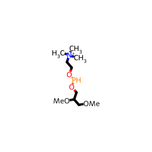 COCC(COPOCC[N+](C)(C)C)OC